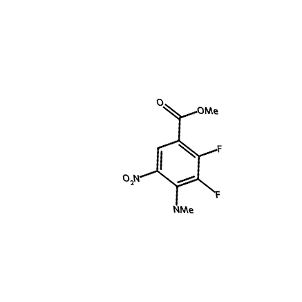 CNc1c([N+](=O)[O-])cc(C(=O)OC)c(F)c1F